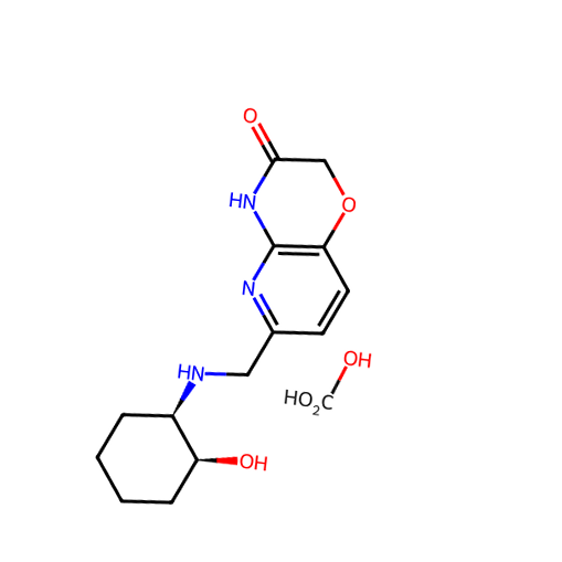 O=C(O)O.O=C1COc2ccc(CN[C@@H]3CCCC[C@@H]3O)nc2N1